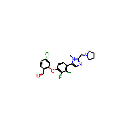 Cn1c(-c2ccc(Oc3cc(Cl)ccc3C=O)c(F)c2F)cnc1CN1CCCC1